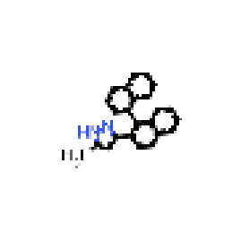 Cc1cc(-c2ccc3ccccc3c2-c2cccc3ccccc23)n[nH]1